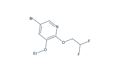 CCOc1cc(Br)cnc1OCC(F)F